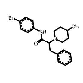 O=C(Nc1ccc(Br)cc1)C(Cc1ccccc1)N1CCC(O)CC1